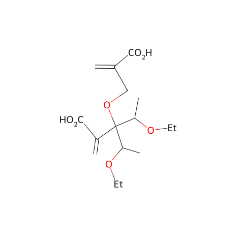 C=C(COC(C(=C)C(=O)O)(C(C)OCC)C(C)OCC)C(=O)O